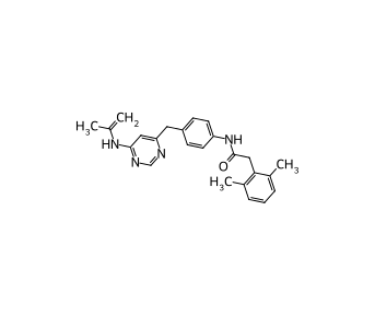 C=C(C)Nc1cc(Cc2ccc(NC(=O)Cc3c(C)cccc3C)cc2)ncn1